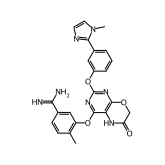 Cc1ccc(C(=N)N)cc1Oc1nc(Oc2cccc(-c3nccn3C)c2)nc2c1NC(=O)CO2